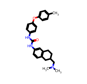 Cc1ccc(Oc2ccc(NC(=O)Nc3ccc4c(c3)CCC(CN(C)C)C4)cc2)cc1